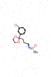 CC(C)(C)[S@@+]([O-])/N=C/CCC1(c2cccc(Cl)c2)OCCO1